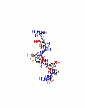 CSCC[C@H](NC(=O)CNC(=O)[C@@H]1C[C@@H](O)CN1C(=O)[C@@H]1CCCN1C(=O)CNC(=O)[C@H](C)N)C(=O)N1C[C@H](O)C[C@H]1C(=O)NCC(=O)N[C@@H](C)C(=O)N[C@@H](CCCNC(=N)N)C(=O)O